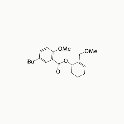 CCC(C)c1ccc(OC)c(C(=O)OC2CCCC=C2COC)c1